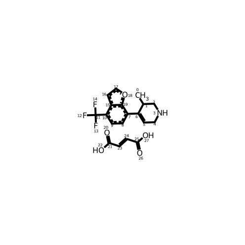 CC1CNCC=C1c1ccc(C(F)(F)F)c2ccoc12.O=C(O)C=CC(=O)O